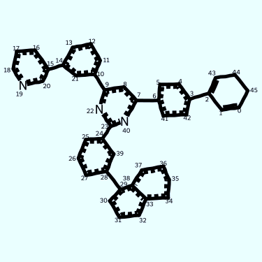 C1=CC(c2ccc(-c3cc(-c4cccc(-c5cccnc5)c4)nc(-c4cccc(-c5cccc6ccccc56)c4)n3)cc2)=CCC1